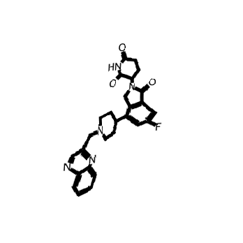 O=C1CCC(N2Cc3c(cc(F)cc3C3CCN(Cc4cnc5ccccc5n4)CC3)C2=O)C(=O)N1